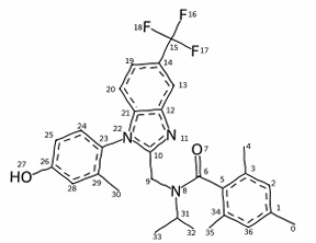 Cc1cc(C)c(C(=O)N(Cc2nc3cc(C(F)(F)F)ccc3n2-c2ccc(O)cc2C)C(C)C)c(C)c1